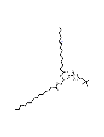 CCCC/C=C/CCCCCCCC(=O)OC[C@H](COP(=O)(O)OCC[N+](C)(C)C)OC(=O)CCCCCCC/C=C/CCCC